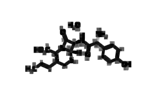 CC=CC1=C(C(=O)O)N2C(=O)[C@@H](NC(=O)[C@H](N)c3ccc(O)cc3)[C@@H]2SC1.O